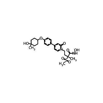 CC1(O)CCC(Oc2ccc(-c3ccn(CC[C@](C)(C(=O)NO)S(C)(=O)=O)c(=O)c3)cc2)CC1